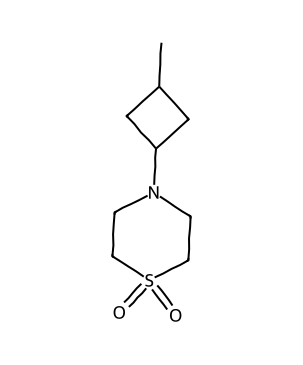 CC1CC(N2CCS(=O)(=O)CC2)C1